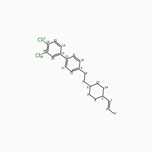 C/C=C/C1CCC(CCc2ccc(-c3ccc(Cl)c(Cl)c3)cc2)CC1